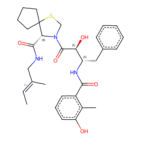 C/C=C(\C)CNC(=O)[C@H]1N(C(=O)[C@@H](O)[C@H](Cc2ccccc2)NC(=O)c2cccc(O)c2C)CSC12CCCC2